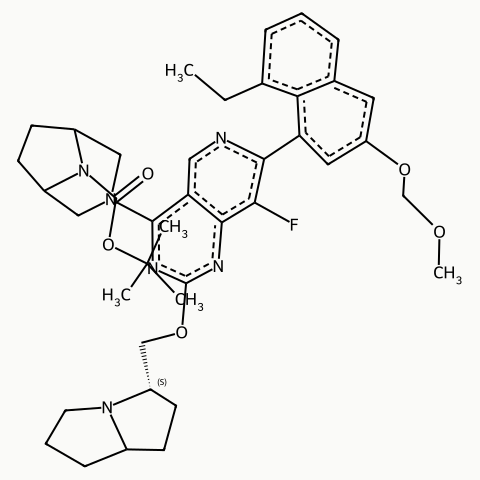 CCc1cccc2cc(OCOC)cc(-c3ncc4c(N5CC6CCC(C5)N6C(=O)OC(C)(C)C)nc(OC[C@@H]5CCC6CCCN65)nc4c3F)c12